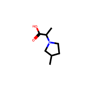 [CH2]C1CCN(C(C)C(=O)O)C1